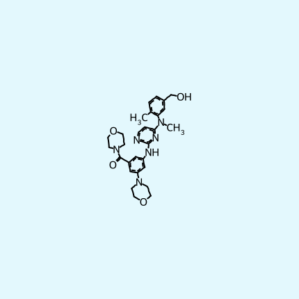 Cc1ccc(CO)cc1N(C)c1ccnc(Nc2cc(C(=O)N3CCOCC3)cc(N3CCOCC3)c2)n1